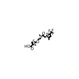 Cc1cc(C(F)(F)F)nn1CC(=O)N(C)CCOc1nc(C(=O)O)cs1